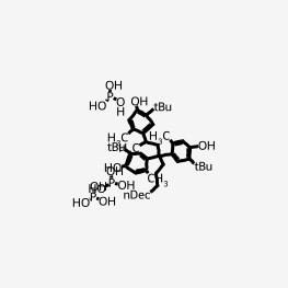 CCCCCCCCCCCCCC(CC(C)c1cc(C(C)(C)C)c(O)cc1C)(c1cc(C(C)(C)C)c(O)cc1C)c1cc(C(C)(C)C)c(O)cc1C.OP(O)O.OP(O)O.OP(O)O